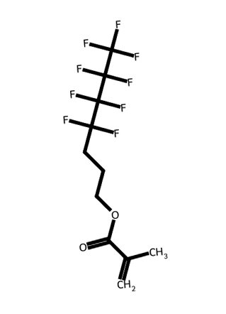 C=C(C)C(=O)OCCCC(F)(F)C(F)(F)C(F)(F)C(F)(F)F